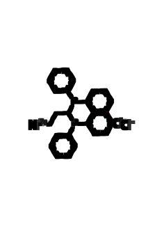 [Cl-].[Cl-].[Ni+2][CH2]CC(P(c1ccccc1)c1ccccc1)P(c1ccccc1)c1ccccc1